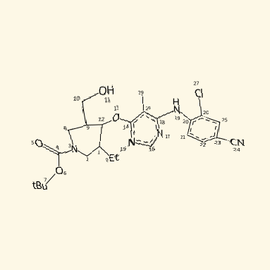 CCC1CN(C(=O)OC(C)(C)C)CC(CO)C1Oc1ncnc(Nc2ccc(C#N)cc2Cl)c1C